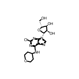 OC[C@H]1O[C@@H](n2cnc3c(NC4CCOCC4)nc(Cl)nc32)[C@H](O)[C@@H]1O